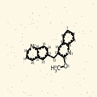 COc1nc2ccccc2cc1Cc1ccc2ncccc2c1